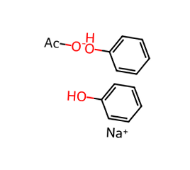 CC(=O)[O-].Oc1ccccc1.Oc1ccccc1.[Na+]